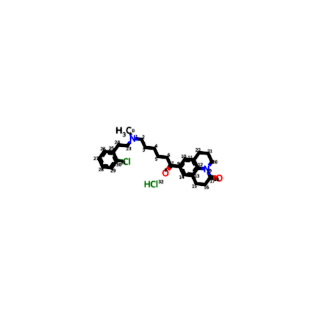 CN(CCCCCC(=O)c1cc2c3c(c1)CCC(=O)N3CCC2)CCc1ccccc1Cl.Cl